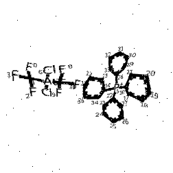 F[C](F)(F)[Au-]([Cl])([Cl])[C](F)(F)F.c1ccc([P+](c2ccccc2)(c2ccccc2)c2ccccc2)cc1